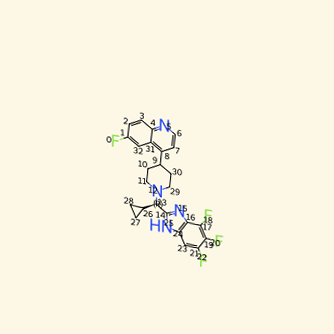 Fc1ccc2nccc(C3CCN([C@@H](c4nc5c(F)c(F)c(F)cc5[nH]4)C4CC4)CC3)c2c1